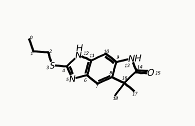 CCCSc1nc2cc3c(cc2[nH]1)NC(=O)C3(C)C